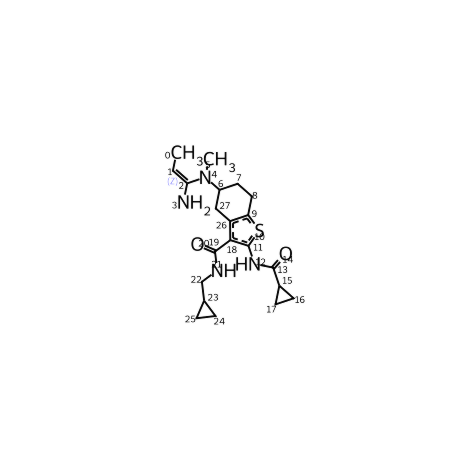 C/C=C(/N)N(C)C1CCc2sc(NC(=O)C3CC3)c(C(=O)NCC3CC3)c2C1